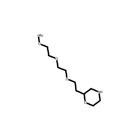 CCCCOCCOCCOCCC1CNCCO1